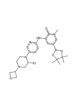 CCC1CN(C2COC2)CCN1c1ccc(Nc2cc(B3OC(C)(C)C(C)(C)O3)cn(C)c2=O)nc1